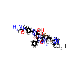 CC(=O)N(C(=O)[C@@H](C)N)c1ccc(-c2ncc(C(=O)N(C(=O)C(N)c3ccccc3)C3C(=O)N4C(C(=O)O)=C(CSc5nnnn5CC(=O)O)CS[C@@H]34)c(O)n2)cc1